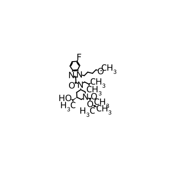 COCCCCn1c(C(=O)N(CC(C)C)[C@H]2C[C@H](C(C)O)CN(C(=O)OC(C)(C)C)C2)nc2ccc(F)cc21